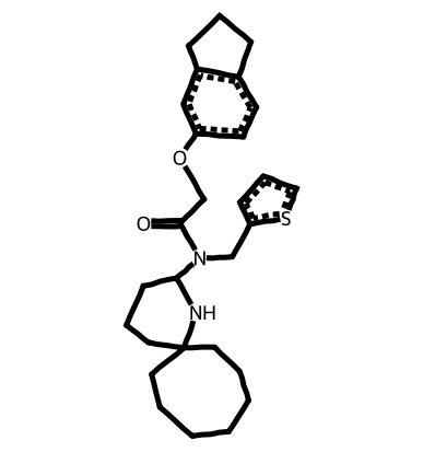 O=C(COc1ccc2c(c1)CCC2)N(Cc1cccs1)C1CCCC2(CCCCCCC2)N1